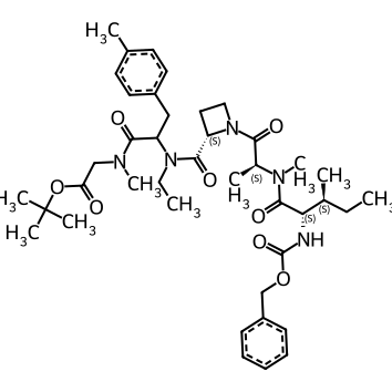 CC[C@H](C)[C@H](NC(=O)OCc1ccccc1)C(=O)N(C)[C@@H](C)C(=O)N1CC[C@H]1C(=O)N(CC)C(Cc1ccc(C)cc1)C(=O)N(C)CC(=O)OC(C)(C)C